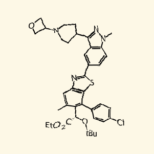 CCOC(=O)[C@@H](OC(C)(C)C)c1c(C)cc2nc(-c3ccc4c(c3)c(C3CCN(C5COC5)CC3)nn4C)sc2c1-c1ccc(Cl)cc1